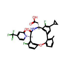 Cc1cccc2c1-c1cc(C3CC3)c(F)c(c1)[C@@H](CC(=O)O)NC(=O)[C@@H](n1ccc(C(F)(F)F)cc1=O)c1cc(ccc1F)O2